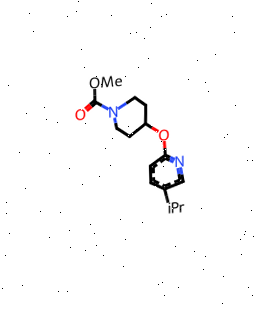 COC(=O)N1CCC(Oc2ccc(C(C)C)cn2)CC1